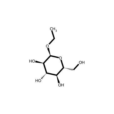 CCO[C@H]1O[C@H](CO)[C@@H](O)[C@H](O)[C@H]1O